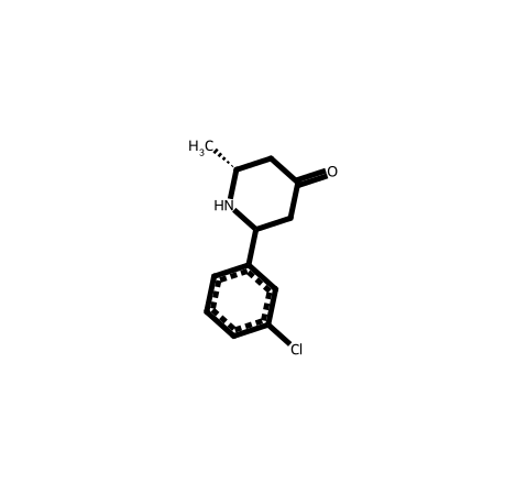 C[C@@H]1CC(=O)CC(c2cccc(Cl)c2)N1